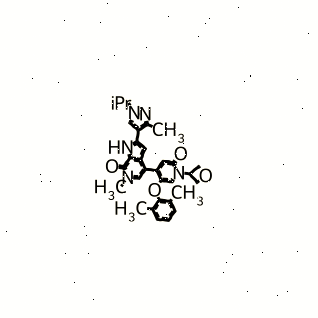 Cc1cccc(C)c1Oc1cn(C2COC2)c(=O)cc1-c1cn(C)c(=O)c2[nH]c(-c3cn(C(C)C)nc3C)cc12